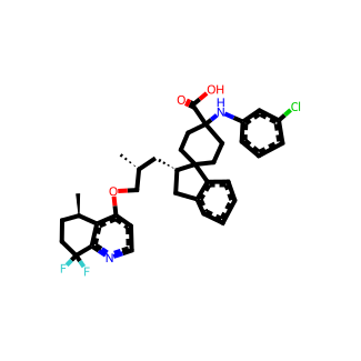 C[C@@H](COc1ccnc2c1[C@H](C)CCC2(F)F)C[C@H]1Cc2ccccc2C12CCC(Nc1cccc(Cl)c1)(C(=O)O)CC2